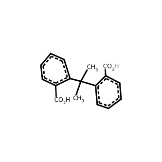 CC(C)(c1ccccc1C(=O)O)c1ccccc1C(=O)O